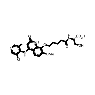 COc1ccc2c(Nc3c(Cl)cncc3Cl)cc(=O)[nH]c2c1OCCCCC(=O)N[C@@H](CO)C(=O)O